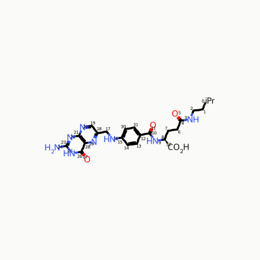 CC(C)CCNC(=O)CC[C@H](NC(=O)c1ccc(NCc2cnc3nc(N)[nH]c(=O)c3n2)cc1)C(=O)O